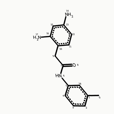 Cc1cccc(NC(=O)Cc2ccc(N)cc2N)c1